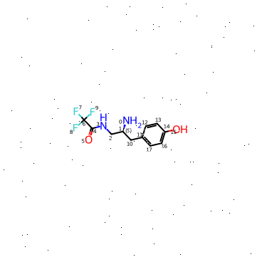 N[C@H](CNC(=O)C(F)(F)F)Cc1ccc(O)cc1